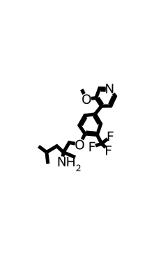 COc1cnccc1-c1ccc(OCC(C)(N)CC(C)C)c(C(F)(F)F)c1